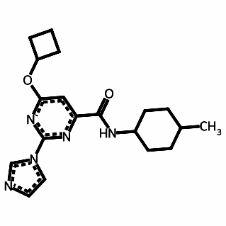 CC1CCC(NC(=O)c2cc(OC3CCC3)nc(-n3ccnc3)n2)CC1